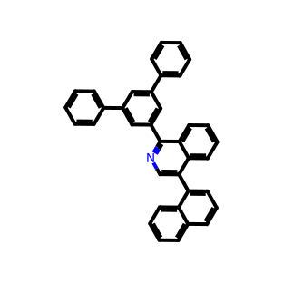 c1ccc(-c2cc(-c3ccccc3)cc(-c3ncc(-c4cccc5ccccc45)c4ccccc34)c2)cc1